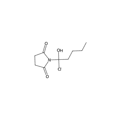 CCCCC(O)(Cl)N1C(=O)CCC1=O